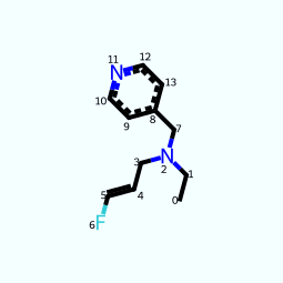 CCN(C/C=C/F)Cc1ccncc1